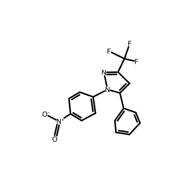 O=[N+]([O-])c1ccc(-n2nc(C(F)(F)F)cc2-c2c[c]ccc2)cc1